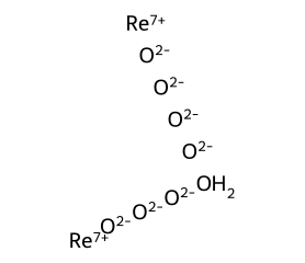 O.[O-2].[O-2].[O-2].[O-2].[O-2].[O-2].[O-2].[Re+7].[Re+7]